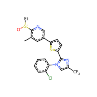 CC[S+]([O-])c1ncc(-c2ccc(-c3nc(C(F)(F)F)cn3-c3ccccc3Cl)s2)cc1C